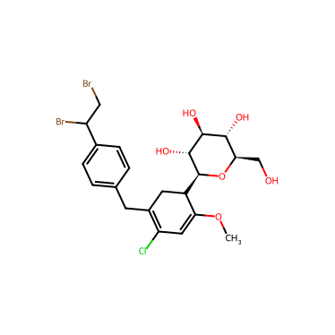 COC1=CC(Cl)=C(Cc2ccc(C(Br)CBr)cc2)CC1[C@@H]1O[C@H](CO)[C@@H](O)[C@H](O)[C@H]1O